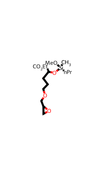 CCC[Si](C)(OC)OC(CCCOCC1CO1)C(=O)OCC